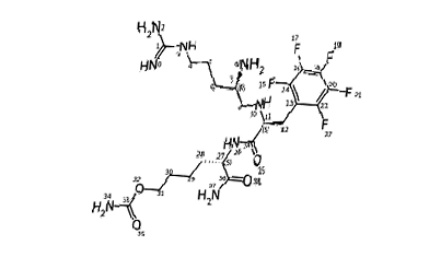 N=C(N)NCCC[C@@H](N)CN[C@@H](Cc1c(F)c(F)c(F)c(F)c1F)C(=O)N[C@@H](CCCCOC(N)=O)C(N)=O